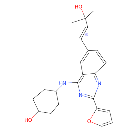 CC(C)(O)/C=C/c1ccc2nc(-c3ccco3)nc(NC3CCC(O)CC3)c2c1